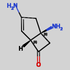 NC1=C[C@H]2C(=O)C[C@@]2(N)C1